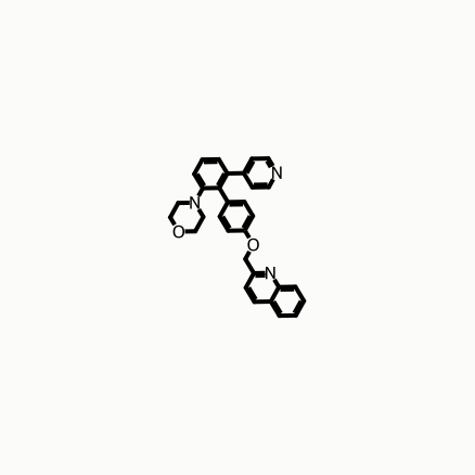 c1cc(-c2ccncc2)c(-c2ccc(OCc3ccc4ccccc4n3)cc2)c(N2CCOCC2)c1